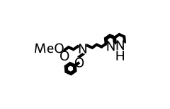 COC(=O)CCCN(CCCCc1ccc2c(n1)NCCC2)CCOc1ccccc1